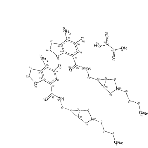 COCCCN1CC2C(CNC(=O)c3cc(Cl)c(N)c4c3OCC4)C2C1.COCCCN1CC2C(CNC(=O)c3cc(Cl)c(N)c4c3OCC4)C2C1.O=C(O)C(=O)O